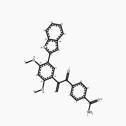 C=C(C(=O)c1ccc(C(N)=O)cc1)c1cc(-c2cc3ccccc3s2)c(OC)cc1OC